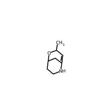 CC1C=C2CC(CCN2)O1